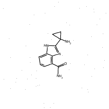 NC(=O)c1cccc2[nH]c(C3(N)CC3)nc12